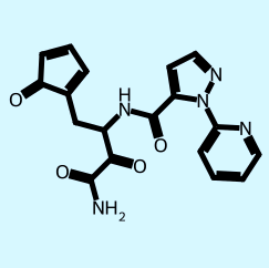 NC(=O)C(=O)C(CC1=CC=CC1=O)NC(=O)c1ccnn1-c1ccccn1